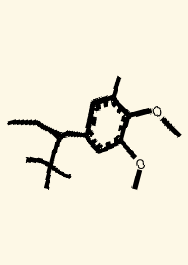 CCC(c1cc(C)c(OC)c(OC)c1)C(C)(C)C